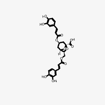 O=C(/C=C/c1ccc(O)c(O)c1)OC[C@@H]1O[C@]2(C(=O)O)C[C@H](OC(=O)/C=C/c3ccc(O)c(O)c3)C[C@H]1O2